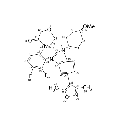 CO[C@H]1CC[C@H](n2c([C@H]3COCC(=O)N3c3ccc(F)c(F)c3)nc3cc(-c4c(C)noc4C)ccc32)CC1